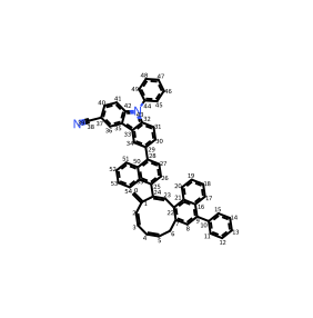 C=C1/C=C\C=C/Cc2cc(-c3ccccc3)c3ccccc3c2/C=C\1c1ccc(-c2ccc3c(c2)c2cc(C#N)ccc2n3-c2ccccc2)c2ccccc12